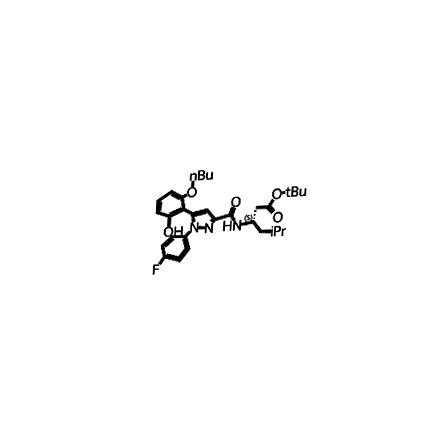 CCCCOc1cccc(O)c1-c1cc(C(=O)N[C@H](CC(=O)OC(C)(C)C)CC(C)C)nn1C1=C=C=C(F)C=C1